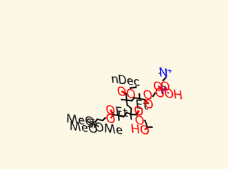 CCCCCCCCCCCCOC(=O)C(C)(CCC(C)(CC)C(=O)OCCOP(=O)(O)OCC[N+](C)(C)C)CCC(C)(CCC(C)(CC)C(=O)OCCC[Si](OC)(OC)OC)C(=O)OCC(C)O